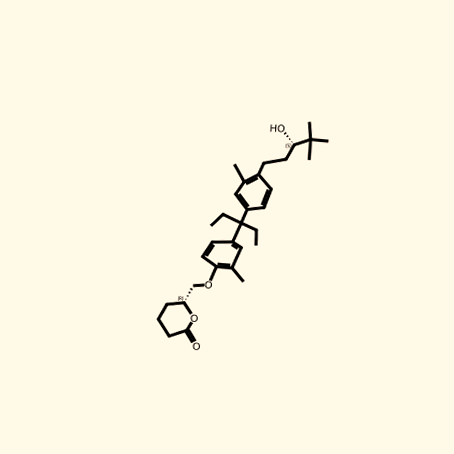 CCC(CC)(c1ccc(CC[C@H](O)C(C)(C)C)c(C)c1)c1ccc(OC[C@H]2CCCC(=O)O2)c(C)c1